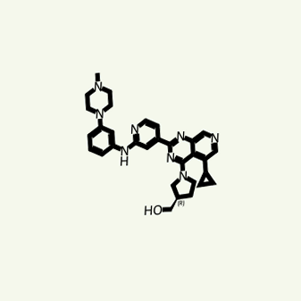 CN1CCN(c2cccc(Nc3cc(-c4nc(N5CC[C@@H](CO)C5)c5c(C6CC6)cncc5n4)ccn3)c2)CC1